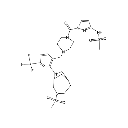 CS(=O)(=O)Nc1ccn(C(=O)N2CCN(Cc3ccc(C(F)(F)F)cc3N3CC4CCN(S(C)(=O)=O)CC3C4)CC2)n1